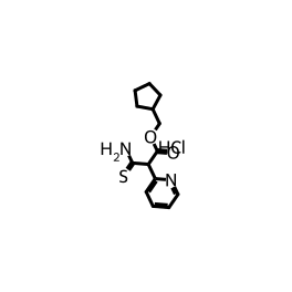 Cl.NC(=S)C(C(=O)OCC1CCCC1)c1ccccn1